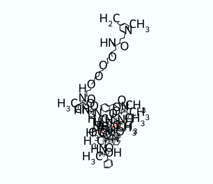 C=Cc1cc(C)nc(CCC(=O)C(=N)CCOCCOCCOCCOCCC(=O)N[C@H](C(=O)N[C@@H](CCCNC(C)=O)C(=O)Nc2ccc(COC(=O)N(C)[C@H](C(=O)N[C@H](C(=O)N(C)C(C(CC(=O)N3CCC[C@H]3[C@H](OC)[C@@H](C)C(=O)N[C@H](C)C(O)c3ccccc3)OC)[C@@H](C)CC)C(C)C)C(C)C)cc2)C(C)C)c1